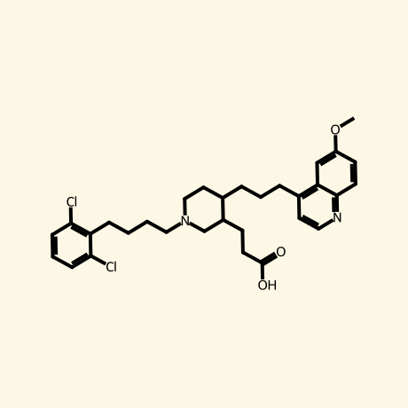 COc1ccc2nccc(CCCC3CCN(CCCCc4c(Cl)cccc4Cl)CC3CCC(=O)O)c2c1